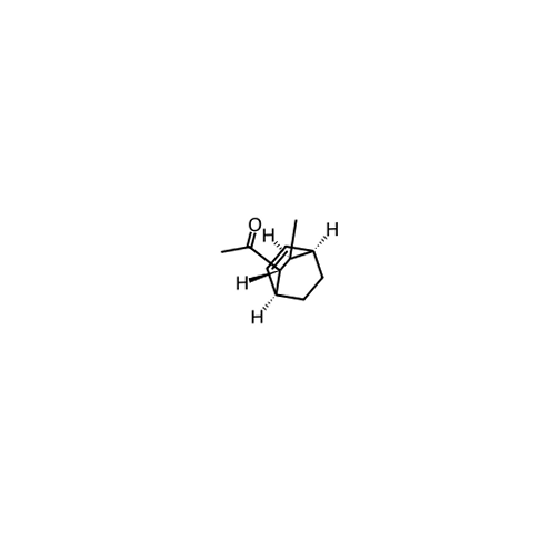 CC(=O)[C@@H]1[C@@H](C)[C@H]2C=C[C@@H]1CC2